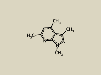 Cc1cc(C)c2c(C)nn(C)c2n1